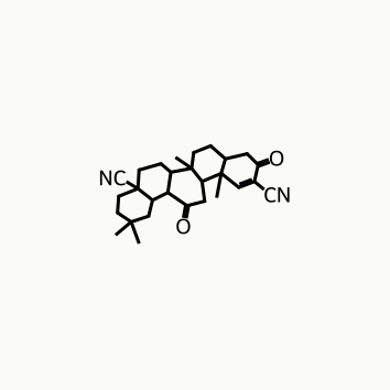 CC1(C)CCC2(C#N)CCC3C(C(=O)CC4C5(C)C=C(C#N)C(=O)CC5CCC34C)C2C1